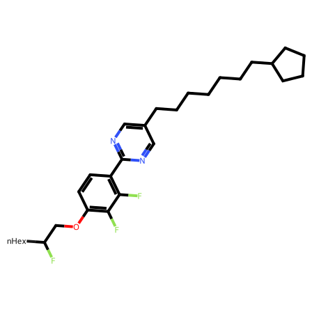 CCCCCCC(F)COc1ccc(-c2ncc(CCCCCCCC3CCCC3)cn2)c(F)c1F